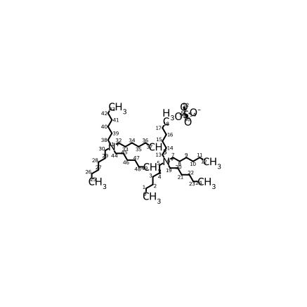 CCCCCC[N+](CCCCCC)(CCCCCC)CCCCCC.CCCCCC[N+](CCCCCC)(CCCCCC)CCCCCC.O=S(=O)([O-])[O-]